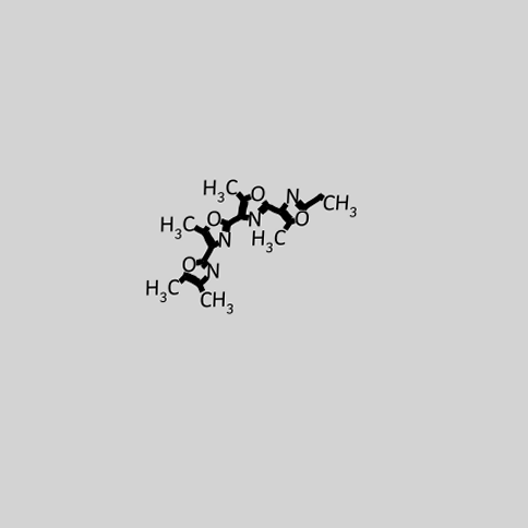 CCc1nc(-c2nc(-c3nc(-c4nc(C)c(C)o4)c(C)o3)c(C)o2)c(C)o1